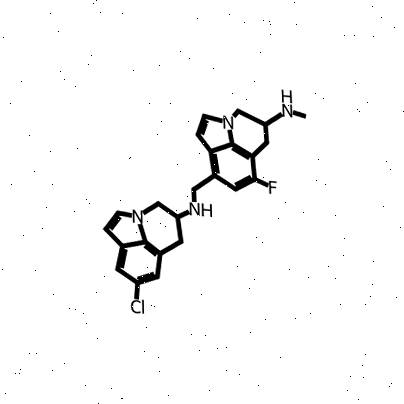 CNC1Cc2c(F)cc(CNC3Cc4cc(Cl)cc5ccn(c45)C3)c3ccn(c23)C1